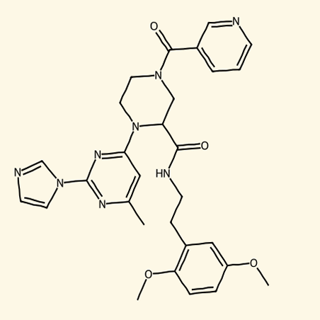 COc1ccc(OC)c(CCNC(=O)C2CN(C(=O)c3cccnc3)CCN2c2cc(C)nc(-n3ccnc3)n2)c1